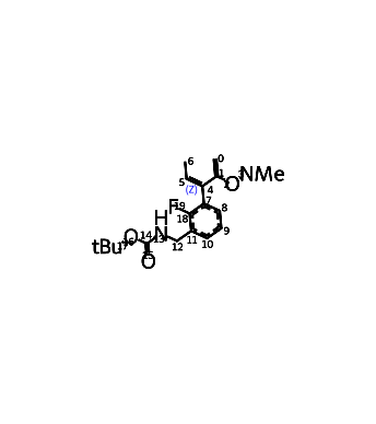 C=C(ONC)/C(=C\C)c1cccc(CNC(=O)OC(C)(C)C)c1F